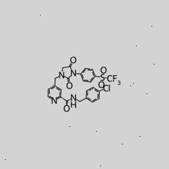 O=C(NCc1ccc(Cl)cc1)c1cc(CN2CC(=O)N(c3ccc(S(=O)(=O)C(F)(F)F)cc3)C2=O)ccn1